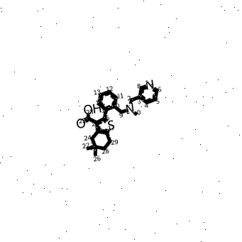 CN(Cc1cccnc1)Cc1ccccc1-c1sc2c(c1C(=O)O)CC(C)(C)CC2